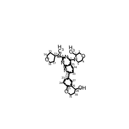 CC1COCCN1c1nc(N(C)C2CCOCC2)nc2nc(-c3ccc4c(c3)C(O)CCO4)ccc12